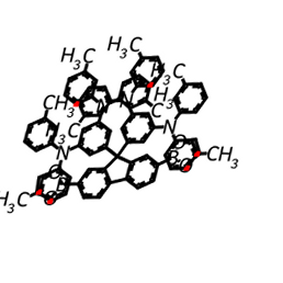 Cc1cccc(N(c2cccc(C)c2)c2cc(N(c3cccc(C)c3)c3cccc(C)c3)cc(C3(c4cc(N(c5cccc(C)c5)c5cccc(C)c5)cc(N(c5cccc(C)c5)c5cccc(C)c5)c4)c4cc(B5OCCO5)ccc4-c4ccc(B5OCCO5)cc43)c2)c1